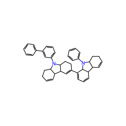 C1=CC2C3C=CCCC3N(c3ccccc3)C2C(C2=CC3C4C=CCCC4N(c4cccc(-c5ccccc5)c4)C3CC2)=C1